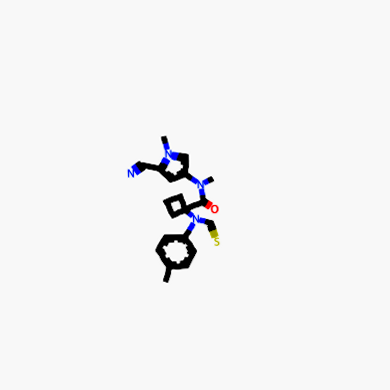 Cc1ccc(N(C=S)C2(C(=O)N(C)c3cc(C#N)n(C)c3)CCC2)cc1